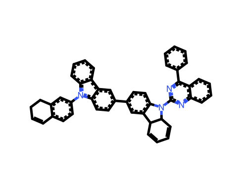 C1=CC2c3cc(-c4ccc5c(c4)c4ccccc4n5-c4ccc5c(c4)CCC=C5)ccc3N(c3nc(-c4ccccc4)c4ccccc4n3)C2C=C1